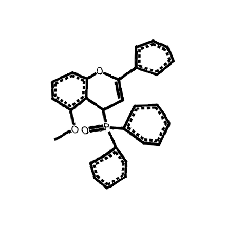 COc1cccc2c1C(P(=O)(c1ccccc1)c1ccccc1)C=C(c1ccccc1)O2